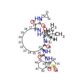 CC1(C)[C@@H]2[C@H]3C(=O)N[C@H](C(=O)C(=O)NC4CC4)CCCCCCCCCC[C@H](NC(=O)NC4([C@H]5CCS5(=O)=O)CCCCC4)C(=O)N3C[C@@H]21